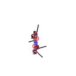 CCCCCCCCCCCCC(CN(CCC(=O)OCCN1CC(C)N(CCOC(=O)CCN(CC(CCCCCCCCCCCC)O[Si](C)(C)C(C)(C)C)CC(CCCCCCCCCCCC)O[Si](C)(C)C(C)(C)C)CC1C)CC(CCCCCCCCCCCC)O[Si](C)(C)C(C)(C)C)O[Si](C)(C)C(C)(C)C